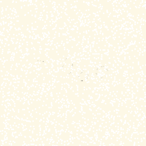 COCCS(=O)(=O)NC(=O)c1cn(C)c(-c2c(F)cccc2F)n1